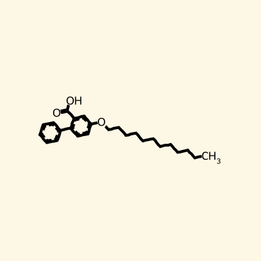 CCCCCCCCCCCCOc1ccc(-c2ccccc2)c(C(=O)O)c1